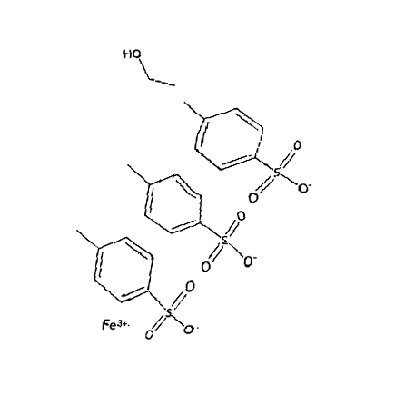 CCO.Cc1ccc(S(=O)(=O)[O-])cc1.Cc1ccc(S(=O)(=O)[O-])cc1.Cc1ccc(S(=O)(=O)[O-])cc1.[Fe+3]